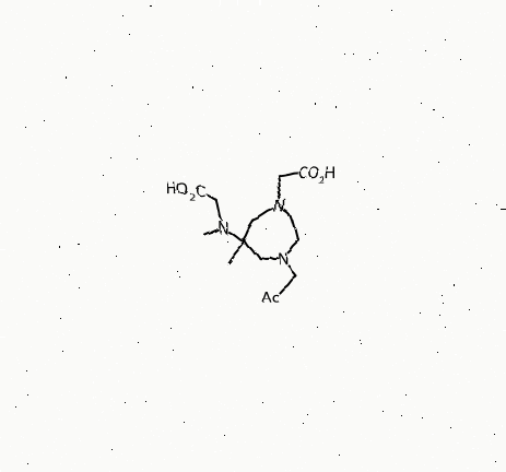 CC(=O)CN1CCN(CC(=O)O)CC(C)(N(C)CC(=O)O)C1